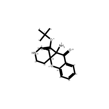 CC(C)(C)OC(=O)C1(N)C(=O)c2ccccc2OC12CCNCC2